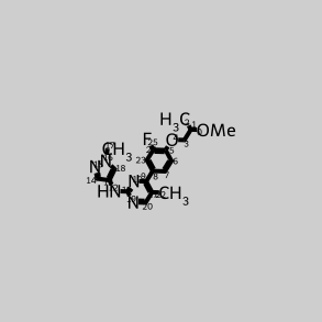 COC(C)COc1ccc(-c2nc(Nc3cnn(C)c3)ncc2C)cc1F